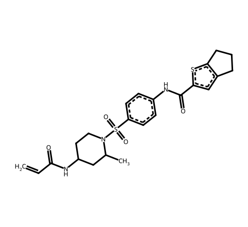 C=CC(=O)NC1CCN(S(=O)(=O)c2ccc(NC(=O)c3cc4c(s3)CCC4)cc2)C(C)C1